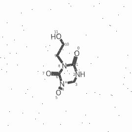 O=C1NC[N+](=O)C(=O)N1CCO